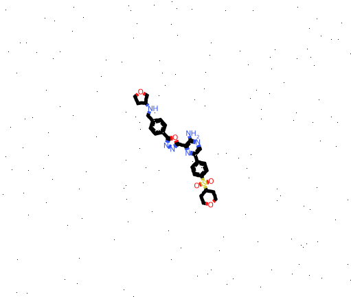 Nc1ncc(-c2ccc(S(=O)(=O)C3CCOCC3)cc2)nc1-c1nnc(-c2ccc(CNC3CCOC3)cc2)o1